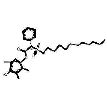 CCCCCCCCCCCCS(=O)(=O)[C@H](C(=O)Nc1cc(C)c(O)c(C)c1C)c1ccccc1